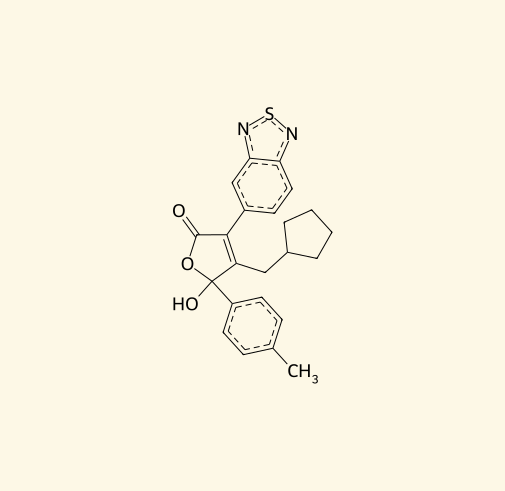 Cc1ccc(C2(O)OC(=O)C(c3ccc4nsnc4c3)=C2CC2CCCC2)cc1